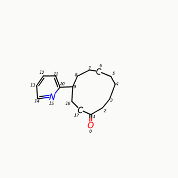 O=C1CCCCCCCC(c2ccccn2)CC1